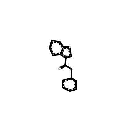 O=C(Cc1ccccc1)c1csc2ccccc12